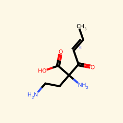 C/C=C/C(=O)C(N)(CCN)C(=O)O